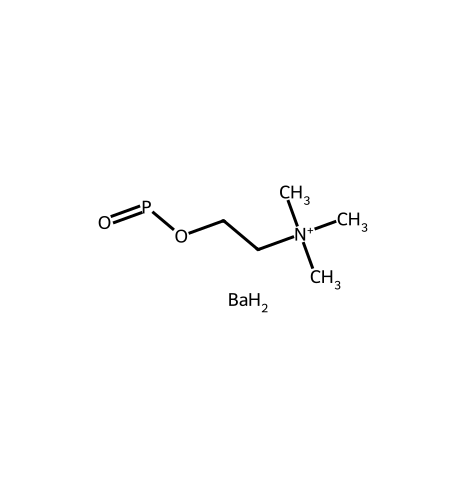 C[N+](C)(C)CCOP=O.[BaH2]